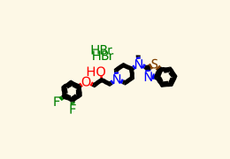 Br.Br.CN(c1nc2ccccc2s1)C1CCN(C[C@H](O)COc2ccc(F)c(F)c2)CC1